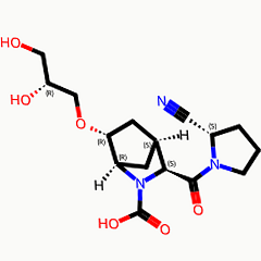 N#C[C@@H]1CCCN1C(=O)[C@@H]1[C@H]2C[C@H]([C@H](OC[C@H](O)CO)C2)N1C(=O)O